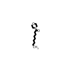 CCCCCCCCC(=O)N1CCOCC1